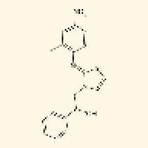 Cc1cc([N+](=O)[O-])ccc1N=c1sccn1CC(O)c1ccccc1